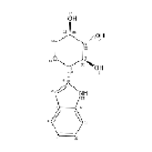 O[C@@H]1[C@@H](O)[C@H](c2cc3ccccc3[nH]2)OC[C@H]1O